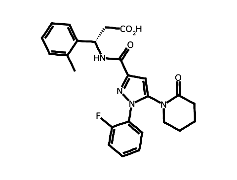 Cc1ccccc1[C@H](CC(=O)O)NC(=O)c1cc(N2CCCCC2=O)n(-c2ccccc2F)n1